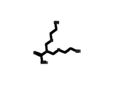 CC(C)COC(=O)N(COCCO)COCCO